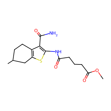 COC(=O)CCCC(=O)Nc1sc2c(c1C(N)=O)CCC(C)C2